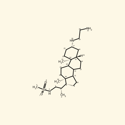 C[C@H](CNS(C)(=O)=O)[C@H]1CCC2C3CC[C@H]4C[C@@H](NCCN)CC[C@]4(C)C3CC[C@@]21C